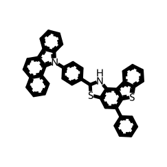 c1ccc(-c2cc3c(c4c2sc2ccccc24)NC(c2ccc(-n4c5ccccc5c5ccc6ccccc6c54)cc2)S3)cc1